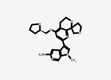 CC(=O)Nc1cc2c(-c3cc(OC[C@H]4CCCO4)c4c(n3)C3(CCOC3)OCC4)cn(C)c2cn1